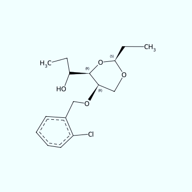 CCC(O)[C@H]1O[C@@H](CC)OC[C@H]1OCc1ccccc1Cl